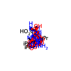 CC(C)C[C@H](NC(=O)[C@H](C)NC(=O)[C@H](CC(N)=O)NC(=O)[C@H](C)NC(=O)[C@@H](NC(=O)CNC(=O)[C@H](C)NC(=O)[C@@H](NC(=O)[C@@H](NC(=O)[C@H](CCCCN)NC(=O)[C@@H](N)CCC(N)=O)C(C)C)C(C)C)C(C)C)C(=O)N[C@@H](C)C(=O)N[C@@H](Cc1c[nH]cn1)C(=O)N[C@@H](CCCCN)C(=O)N[C@@H](Cc1ccc(O)cc1)C(=O)N[C@@H](Cc1c[nH]cn1)C(=O)O